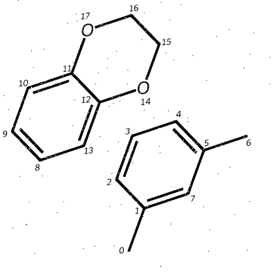 Cc1cccc(C)c1.c1ccc2c(c1)OCCO2